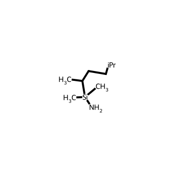 CC(C)CCC(C)[Si](C)(C)N